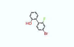 Oc1ccccc1-c1ccc(Br)cc1F